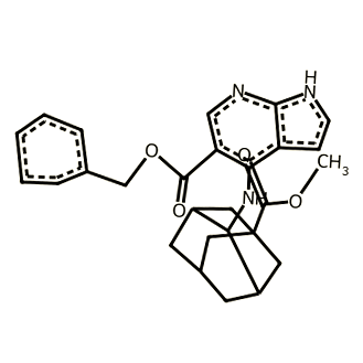 COC(=O)C12CC3CC(C1)C(Nc1c(C(=O)OCc4ccccc4)cnc4[nH]ccc14)C(C3)C2